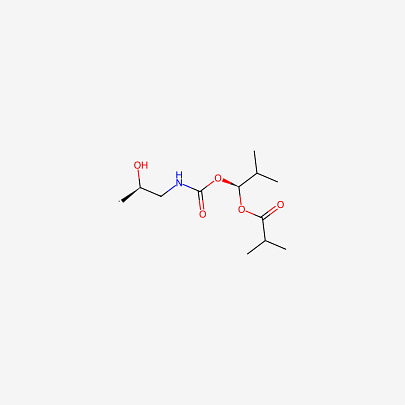 [CH2][C@@H](O)CNC(=O)O[C@H](OC(=O)C(C)C)C(C)C